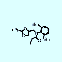 CCCCc1cccc(CCCC)c1N(CC1COC(CCC)O1)C(=O)CF